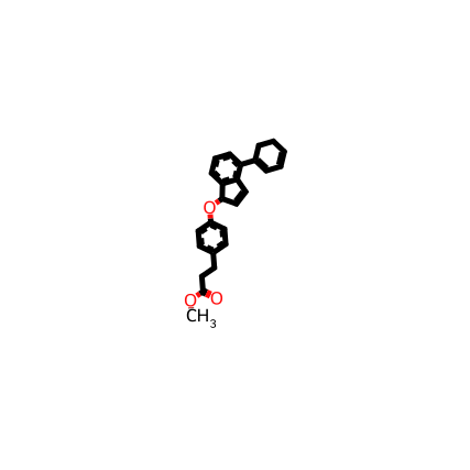 COC(=O)CCc1ccc(OC2C=Cc3c(C4=CC=CCC4)cccc32)cc1